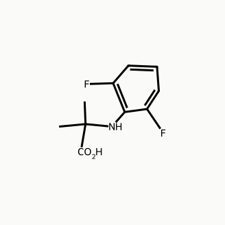 CC(C)(Nc1c(F)cccc1F)C(=O)O